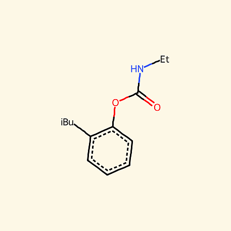 CCNC(=O)Oc1ccccc1C(C)CC